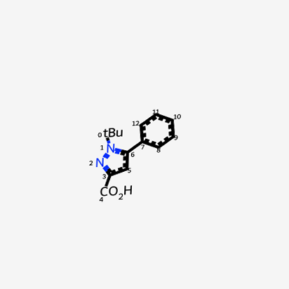 CC(C)(C)n1nc(C(=O)O)cc1-c1ccccc1